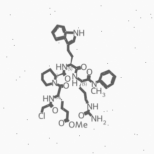 COC(=O)CCC[C@H](NC(=O)CCl)C(=O)N1CCCC[C@H]1C(=O)N[C@@H](CCc1c[nH]c2ccccc12)C(=O)N[C@@H](CCCNC(N)=O)C(=O)N(C)c1ccccc1